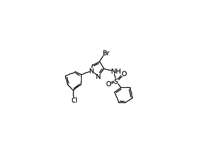 O=S(=O)(Nc1nn(-c2cccc(Cl)c2)cc1Br)c1ccccc1